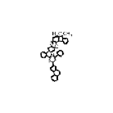 CC1(C)c2ccccc2-c2c1ccc1c2Oc2ccc(-c3ccccc3-c3nc(-c4ccccc4)cc(-c4ccc5c(ccc6ccccc65)c4)n3)cc2O1